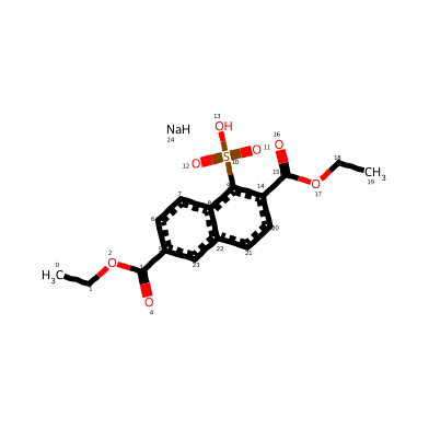 CCOC(=O)c1ccc2c(S(=O)(=O)O)c(C(=O)OCC)ccc2c1.[NaH]